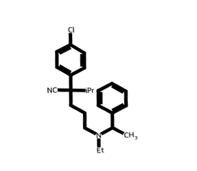 CCN(CCCC(C#N)(c1ccc(Cl)cc1)C(C)C)C(C)c1ccccc1